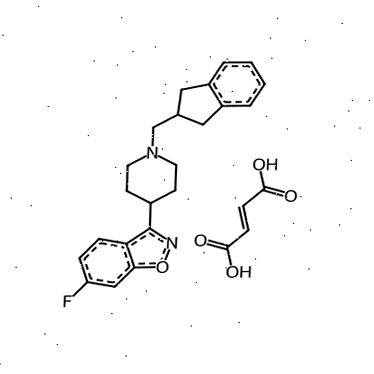 Fc1ccc2c(C3CCN(CC4Cc5ccccc5C4)CC3)noc2c1.O=C(O)C=CC(=O)O